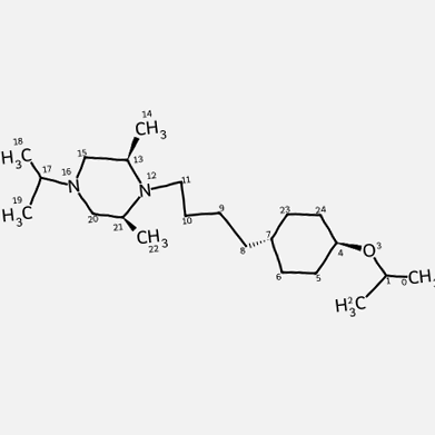 CC(C)O[C@H]1CC[C@H](CCCCN2[C@H](C)CN(C(C)C)C[C@@H]2C)CC1